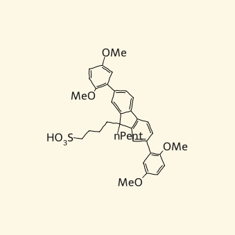 CCCCCC1(CCCCS(=O)(=O)O)c2cc(-c3cc(OC)ccc3OC)ccc2-c2ccc(-c3cc(OC)ccc3OC)cc21